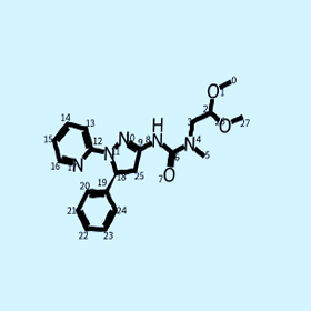 COC(CN(C)C(=O)NC1=NN(c2ccccn2)[C@H](c2ccccc2)C1)OC